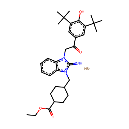 Br.CCOC(=O)C1CCC(Cn2c(=N)n(CC(=O)c3cc(C(C)(C)C)c(O)c(C(C)(C)C)c3)c3ccccc32)CC1